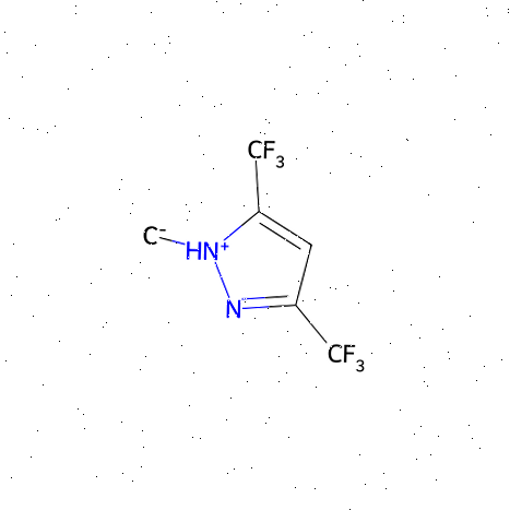 [CH2-][NH+]1N=C(C(F)(F)F)C=C1C(F)(F)F